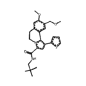 COCc1cc2c(cc1OC)CCn1c(C(=O)NCC(C)(C)C)cc(-c3cccs3)c1-2